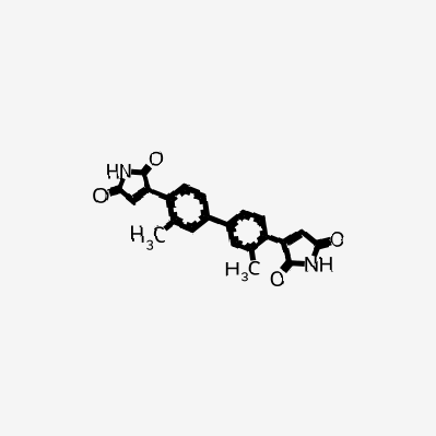 Cc1cc(-c2ccc(C3=CC(=O)NC3=O)c(C)c2)ccc1C1=CC(=O)NC1=O